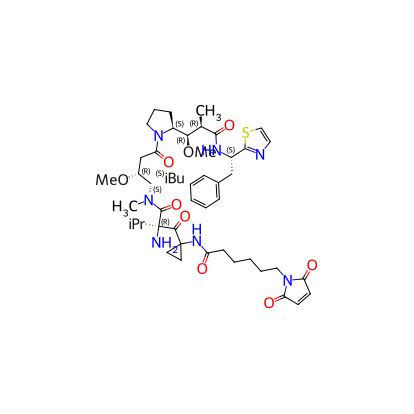 CC[C@H](C)[C@@H]([C@@H](CC(=O)N1CCC[C@H]1[C@H](OC)[C@@H](C)C(=O)N[C@@H](Cc1ccccc1)c1nccs1)OC)N(C)C(=O)[C@](N)(C(=O)C1(NC(=O)CCCCCN2C(=O)C=CC2=O)CC1)C(C)C